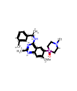 CCN1CCP(=O)(c2cc3c(N[C@H](C)c4cccc(C(F)(F)F)c4)nc(C)nc3cc2OC)CC1